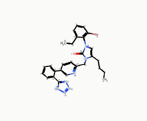 CCCCc1cn(-c2c(Br)cccc2CC)c(=O)n1Cc1ccc(-c2ccccc2-c2nnn[nH]2)cn1